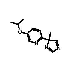 CC(C)Oc1ccc(C2(C)C=NC=N2)nc1